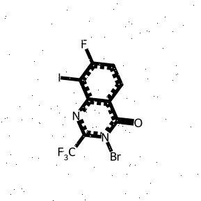 O=c1c2ccc(F)c(I)c2nc(C(F)(F)F)n1Br